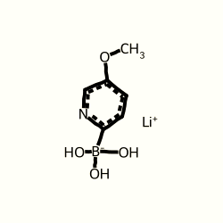 COc1ccc([B-](O)(O)O)nc1.[Li+]